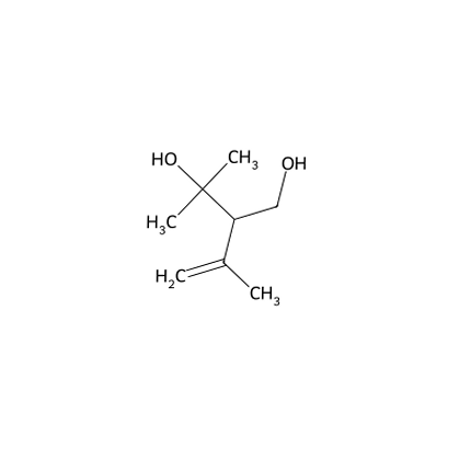 C=C(C)C(CO)C(C)(C)O